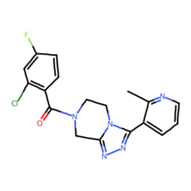 Cc1ncccc1-c1nnc2n1CCN(C(=O)c1ccc(F)cc1Cl)C2